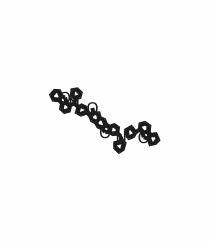 c1ccc(N(c2ccc(-c3cccc4c3oc3ccccc34)cc2)c2ccc3c(c2)oc2cc4cc5c(cc4cc23)oc2cc(N(c3ccccc3)c3cccc4c3oc3ccccc34)ccc25)cc1